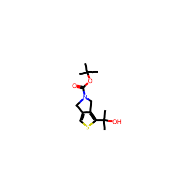 CC(C)(C)OC(=O)N1Cc2csc(C(C)(C)O)c2C1